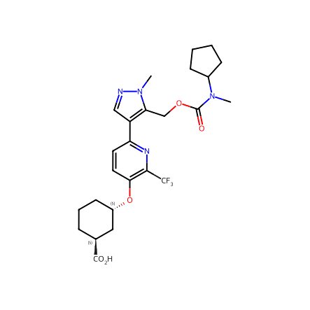 CN(C(=O)OCc1c(-c2ccc(O[C@H]3CCC[C@H](C(=O)O)C3)c(C(F)(F)F)n2)cnn1C)C1CCCC1